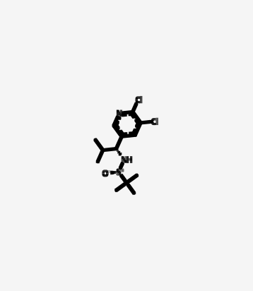 CC(C)[C@@H](N[S@+]([O-])C(C)(C)C)c1cnc(Cl)c(Cl)c1